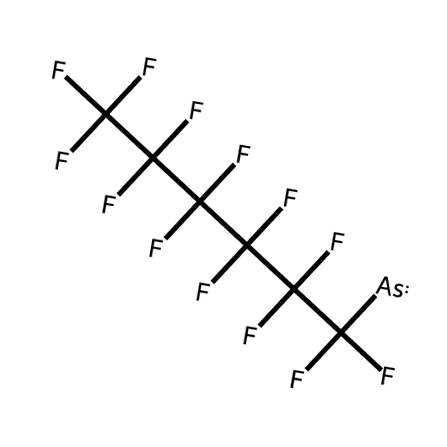 FC(F)(F)C(F)(F)C(F)(F)C(F)(F)C(F)(F)C(F)(F)[As]